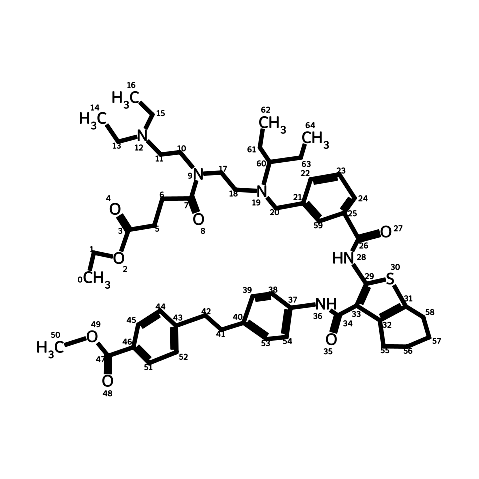 CCOC(=O)CCC(=O)N(CCN(CC)CC)CCN(Cc1cccc(C(=O)Nc2sc3c(c2C(=O)Nc2ccc(CCc4ccc(C(=O)OC)cc4)cc2)CCCC3)c1)C(CC)CC